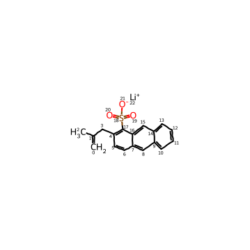 C=C(C)Cc1ccc2cc3ccccc3cc2c1S(=O)(=O)[O-].[Li+]